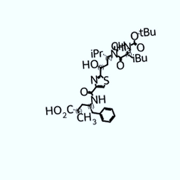 CCC(C)[C@H](NC(=O)OC(C)(C)C)C(=O)N(C)[C@H](C[C@@H](O)c1nc(C(=O)N[C@@H](Cc2ccccc2)C[C@H](C)C(=O)O)cs1)C(C)C